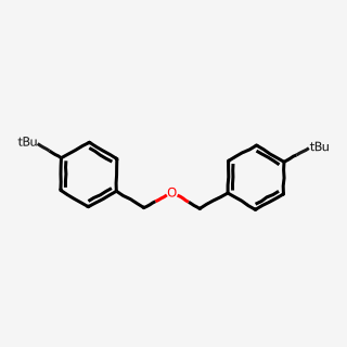 CC(C)(C)c1ccc(COCc2ccc(C(C)(C)C)cc2)cc1